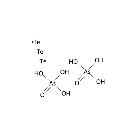 O=[As](O)(O)O.O=[As](O)(O)O.[Te].[Te].[Te]